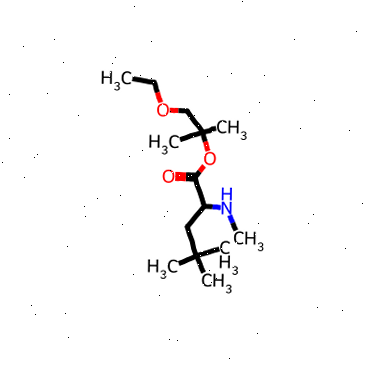 CCOCC(C)(C)OC(=O)C(CC(C)(C)C)NC